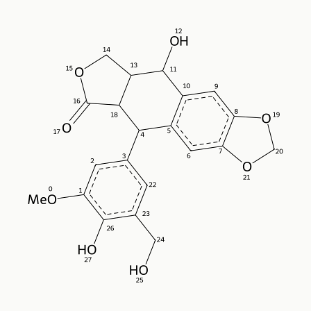 COc1cc(C2c3cc4c(cc3C(O)C3COC(=O)C23)OCO4)cc(CO)c1O